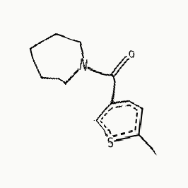 Cc1cc(C(=O)N2CCCCC2)[c]s1